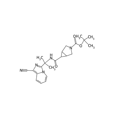 CC(C)(C)OC(=O)N1CC2C(C1)C2C(=O)NC(C)(C)c1nc(C#N)c2ccccn12